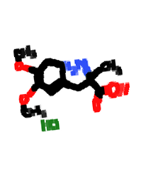 COc1ccc(CC(C)(N)C(=O)O)cc1OC.Cl